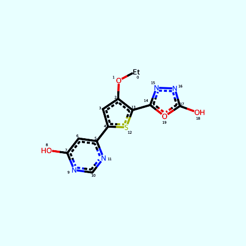 CCOc1cc(-c2cc(O)ncn2)sc1-c1nnc(O)o1